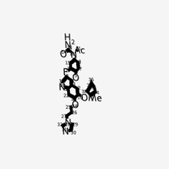 COc1cc2c(Oc3ccc(N(C(C)=O)C(N)=O)cc3F)ccnc2cc1OCCCn1ccnc1.c1cc2cc-2c1